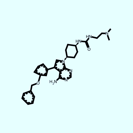 CN(C)CCNC(=O)N[C@H]1CC[C@@H](n2cc(-c3cccc(OCc4ccccc4)c3)c3c(N)ncnc32)CC1